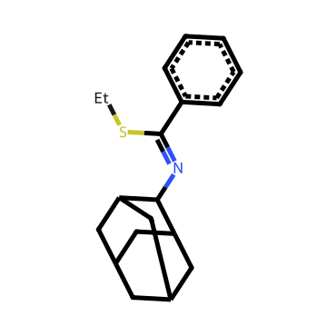 CCS/C(=N\C1C2CC3CC(C2)CC1C3)c1ccccc1